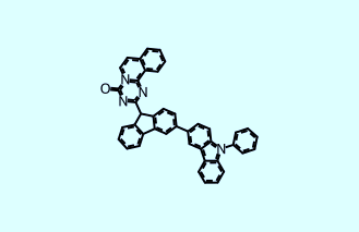 O=c1nc(C2c3ccccc3-c3cc(-c4ccc5c(c4)c4ccccc4n5-c4ccccc4)ccc32)nc2c3ccccc3ccn12